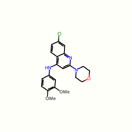 COc1ccc(Nc2cc(N3CCOCC3)nc3cc(Cl)ccc23)cc1OC